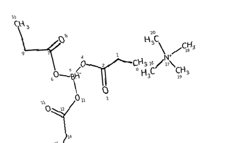 CCC(=O)O[BH-](OC(=O)CC)OC(=O)CC.C[N+](C)(C)C